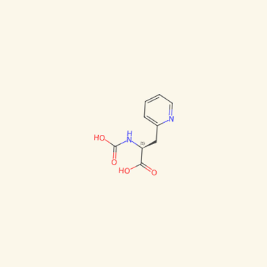 O=C(O)N[C@@H](Cc1ccccn1)C(=O)O